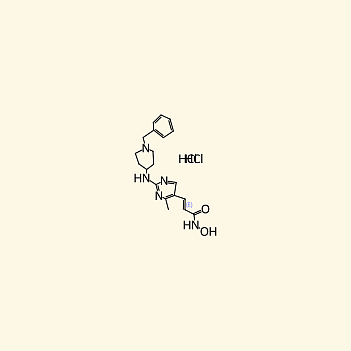 Cc1nc(NC2CCN(Cc3ccccc3)CC2)ncc1/C=C/C(=O)NO.Cl.Cl